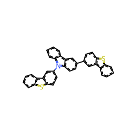 c1ccc2c(c1)sc1ccc(-c3ccc4c(c3)c3ccccc3n4-c3ccc4sc5ccccc5c4c3)cc12